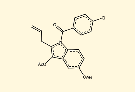 C=CCc1c(OC(C)=O)c2cc(OC)ccc2n1C(=O)c1ccc(Cl)cc1